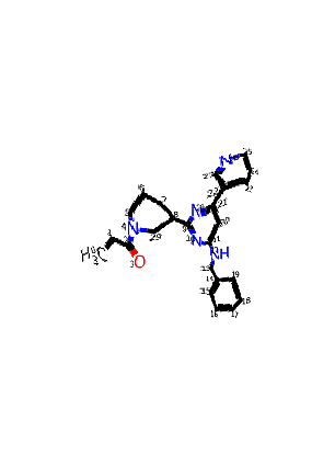 CCC(=O)N1CCCC(c2nc(NCc3ccccc3)cc(-c3cccnc3)n2)C1